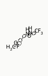 C=CCC1(F)CCc2cc(-c3ccc(NC(=O)Nc4cccc(C(F)(F)F)c4)cc3)ccc2C1=O